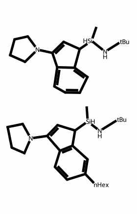 CCCCCCc1ccc2c(c1)C([SiH](C)NC(C)(C)C)C=C2N1CCCC1.C[SiH](NC(C)(C)C)C1C=C(N2CCCC2)c2ccccc21